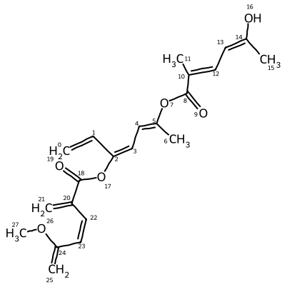 C=C/C(=C\C=C(/C)OC(=O)/C(C)=C/C=C(\C)O)OC(=O)C(=C)/C=C\C(=C)OC